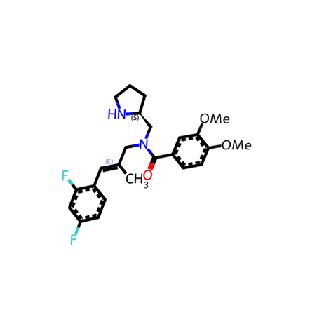 COc1ccc(C(=O)N(C/C(C)=C/c2ccc(F)cc2F)C[C@@H]2CCCN2)cc1OC